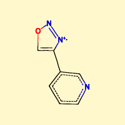 C1=C(c2cccnc2)[N+]=NO1